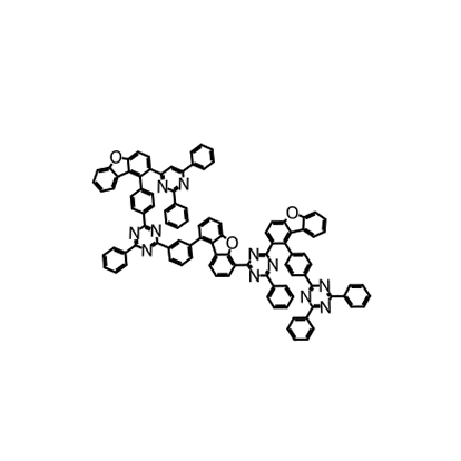 c1ccc(-c2cc(-c3ccc4oc5ccccc5c4c3-c3ccc(-c4nc(-c5ccccc5)nc(-c5cccc(-c6cccc7oc8c(-c9nc(-c%10ccccc%10)nc(-c%10ccc%11oc%12ccccc%12c%11c%10-c%10ccc(-c%11nc(-c%12ccccc%12)nc(-c%12ccccc%12)n%11)cc%10)n9)cccc8c67)c5)n4)cc3)nc(-c3ccccc3)n2)cc1